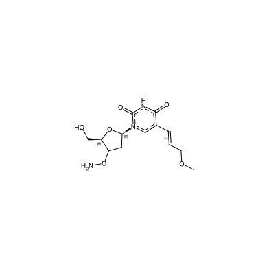 COC/C=C/c1cn([C@H]2CC(ON)[C@@H](CO)O2)c(=O)[nH]c1=O